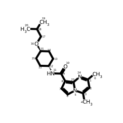 Cc1cc(C)n2ccc(C(=O)N[C@H]3CC[C@H](OCC(C)C)CC3)c2n1